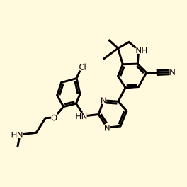 CNCCOc1ccc(Cl)cc1Nc1nccc(-c2cc(C#N)c3c(c2)C(C)(C)CN3)n1